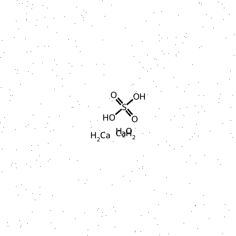 O.O=S(=O)(O)O.[CaH2].[CaH2]